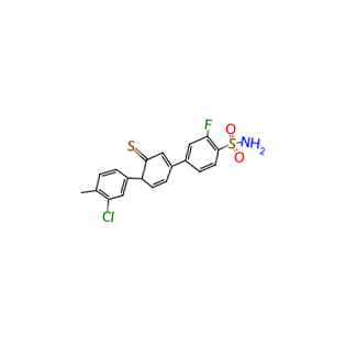 Cc1ccc(C2C=CC(c3ccc(S(N)(=O)=O)c(F)c3)=CC2=S)cc1Cl